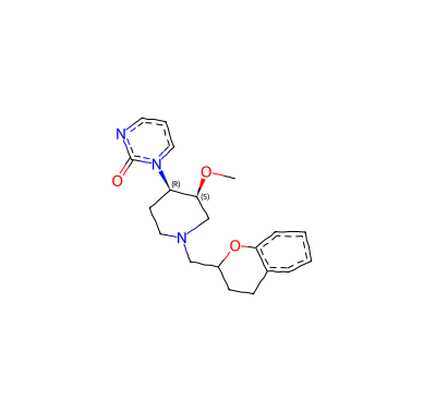 CO[C@H]1CN(CC2CCc3ccccc3O2)CC[C@H]1n1cccnc1=O